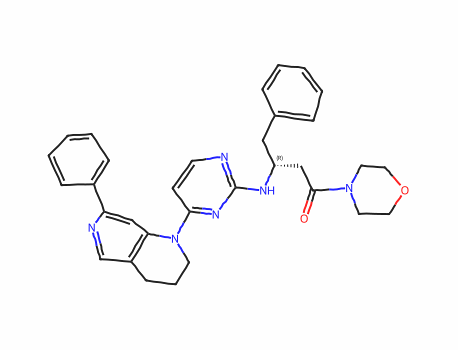 O=C(C[C@@H](Cc1ccccc1)Nc1nccc(N2CCCc3cnc(-c4ccccc4)cc32)n1)N1CCOCC1